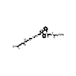 CNC(=O)CCCC(=O)NCCOCCOCCOCCn1nnc2c1-c1ccccc1N(C(=O)CCNC(=O)CCOC)Cc1ccccc1-2